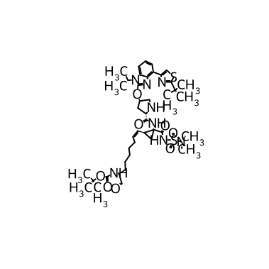 CC(C)n1c(O[C@H]2CN[C@H](C(=O)N[C@]3(C(=O)NS(=O)(=O)N(C)C)C[C@H]3/C=C\CCCCC[C@@H](C=O)NC(=O)OC(C)(C)C)C2)nc2c(-c3csc(C(C)(C)C)n3)cccc21